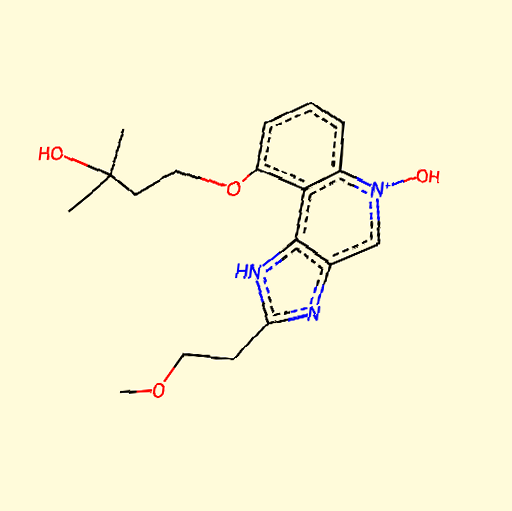 COCCc1nc2c[n+](O)c3cccc(OCCC(C)(C)O)c3c2[nH]1